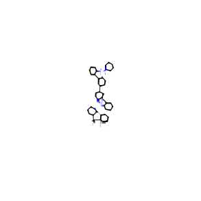 CC1(C)c2ccccc2-c2c(-n3c4ccccc4c4cc(-c5ccc6c(c5)c5ccccc5n6-c5ccccc5)ccc43)cccc21